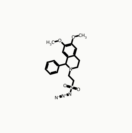 COc1cc2c(cc1OC)C(c1ccccc1)N(CCS(=O)(=O)N=[N+]=[N-])CC2